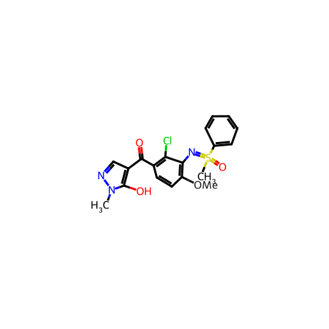 COc1ccc(C(=O)c2cnn(C)c2O)c(Cl)c1N=S(C)(=O)c1ccccc1